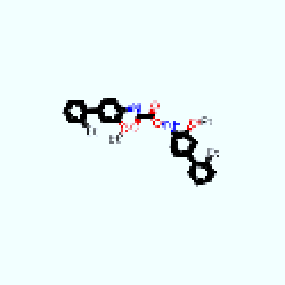 CCOc1cc(-c2ccccc2CC)ccc1NOC(=O)C(=O)Nc1ccc(-c2ccccc2CC)cc1OCC